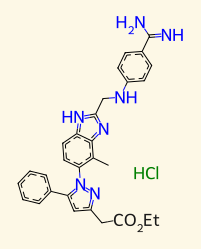 CCOC(=O)Cc1cc(-c2ccccc2)n(-c2ccc3[nH]c(CNc4ccc(C(=N)N)cc4)nc3c2C)n1.Cl